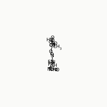 Cn1c(=O)n(C2CCC(=O)NC2=O)c2cccc(CCCOC3CCN(CCCCn4ncc(NCc5cnn6ccc(N7CCOCC7)nc56)c4C(F)F)CC3)c21